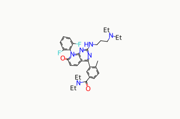 CCN(CC)CCCNc1nc(-c2cc(C(=O)N(CC)CC)ccc2C)c2ccc(=O)n(-c3c(F)cccc3F)c2n1